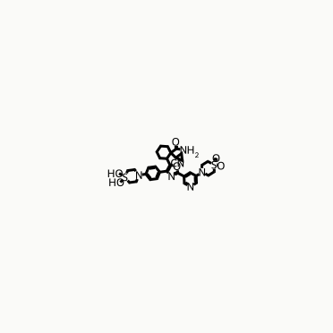 N#CC1(C2(C(N)=O)CCCCC2c2oc(-c3cncc(N4CCS(=O)(=O)CC4)c3)nc2-c2ccc(N3CCS(O)(O)CC3)cc2)CC1